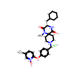 CCCCN1C(=O)[C@H](CC2CCCCC2)NC(=O)C12CCN(Cc1ccc(Oc3ccc(C)c[n+]3[O-])cc1)CC2.Cl